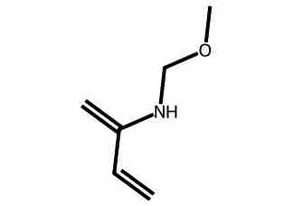 C=CC(=C)NCOC